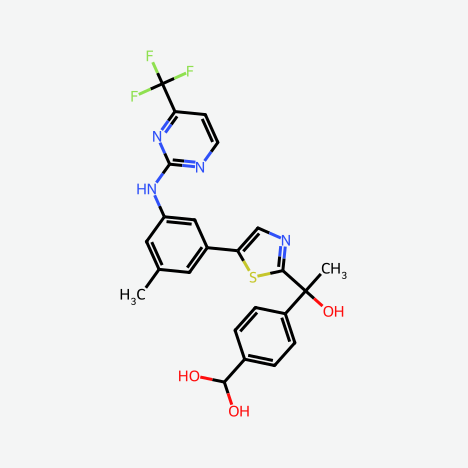 Cc1cc(Nc2nccc(C(F)(F)F)n2)cc(-c2cnc(C(C)(O)c3ccc(C(O)O)cc3)s2)c1